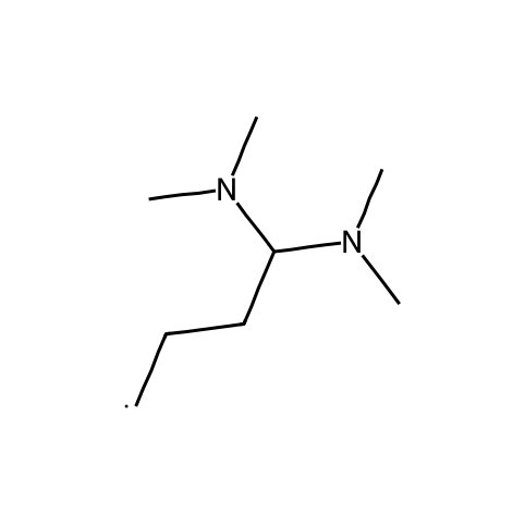 [CH2]CCC(N(C)C)N(C)C